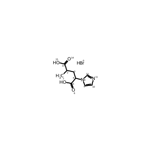 Br.CC(CC(C(=O)O)n1ccnc1)C(=O)O